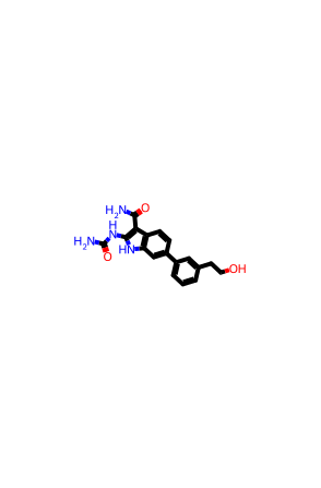 NC(=O)Nc1[nH]c2cc(-c3cccc(CCO)c3)ccc2c1C(N)=O